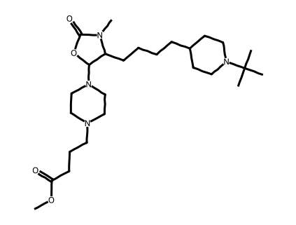 COC(=O)CCCN1CCN(C2OC(=O)N(C)C2CCCCC2CCN(C(C)(C)C)CC2)CC1